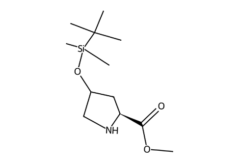 COC(=O)[C@@H]1CC(O[Si](C)(C)C(C)(C)C)CN1